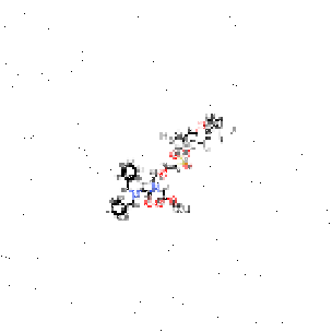 CC(C)(CCO[Si](C)(C)C(C)(C)C)COS(=O)(=O)CCOC[C@@H]1C[C@H](N(Cc2ccccc2)Cc2ccccc2)C(=O)N1CC(=O)OC(C)(C)C